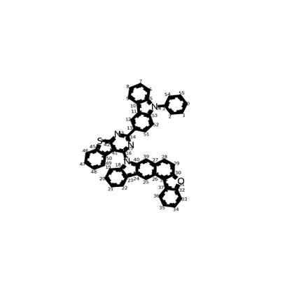 c1ccc(-n2c3ccccc3c3cc(-c4nc(-n5c6ccccc6c6cc7c(ccc8oc9ccccc9c87)cc65)c5c(n4)sc4ccccc45)ccc32)cc1